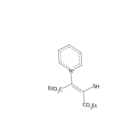 CCOC(=O)/C(S)=C(\C(=O)OCC)[n+]1ccccc1